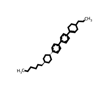 CCCCCC[C@H]1CC[C@H](c2ccc(-c3ccc(C4=CCC(CCC)CC4)cc3)cc2)CC1